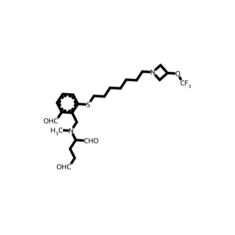 CN(Cc1c(C=O)cccc1SCCCCCCCN1CC(OC(F)(F)F)C1)C(C=O)CCC=O